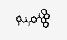 O=C(Cc1ccccc1F)Nc1ccc(C(=O)C2C=c3ccccc3=c3ccc4c(c32)CCCC=4)cc1